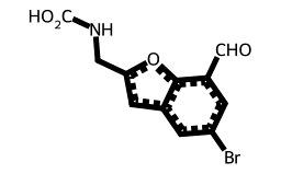 O=Cc1cc(Br)cc2cc(CNC(=O)O)oc12